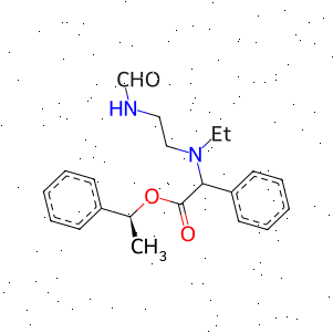 CCN(CCNC=O)C(C(=O)O[C@@H](C)c1ccccc1)c1ccccc1